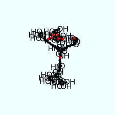 C[C@@H]1O[C@@H](OCCN(CCCCCCNC(=O)CN(CC(=O)NCCCCCC(=O)NCCO[C@H]2O[C@H](CO[C@H]3O[C@H](CO)[C@@H](O)[C@H](O)[C@@H]3O)[C@@H](O)[C@H](O[C@H]3O[C@H](CO)[C@@H](O)[C@H](O)[C@@H]3O)[C@@H]2O)CC(=O)NCCCCCC(=O)ON2C(=O)CCC2=O)CCO[C@H]2O[C@H](CO[C@H]3O[C@H](CO)[C@@H](O)[C@H](O)[C@@H]3O)[C@@H](O)[C@H](O[C@H]3O[C@H](CO)C[C@H](O)[C@@H]3O)[C@@H]2O)[C@@H](O)[C@H](O)[C@@H]1O